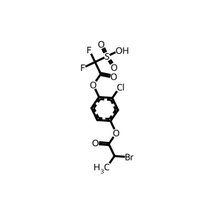 CC(Br)C(=O)Oc1ccc(OC(=O)C(F)(F)S(=O)(=O)O)c(Cl)c1